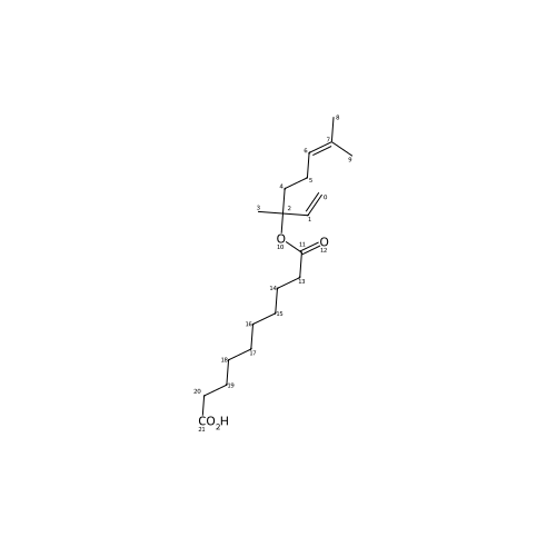 C=CC(C)(CCC=C(C)C)OC(=O)CCCCCCCCC(=O)O